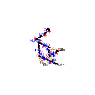 COCCC(=O)NCC(=O)N[C@@H](SSC(C)(C)C)C(=O)NCC(=O)N[C@@H](CSSC(C)(C)C)C(=O)NCC(=O)NCCCC[C@@H](CN[C@@H](CCCCNC(=O)CCN1C(=O)C=CC1=O)C(N)=O)C(=O)CNC(=O)CNC(=O)[C@H](CSSC(C)(C)C)NC(=O)CNC(=O)[C@H](CSSC(C)(C)C)NC(=O)CNC(=O)CCOC(C)(C)C